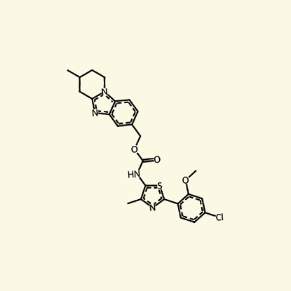 COc1cc(Cl)ccc1-c1nc(C)c(NC(=O)OCc2ccc3c(c2)nc2n3CCC(C)C2)s1